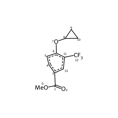 COC(=O)c1ccc(OC2CC2)c(C(F)(F)F)c1